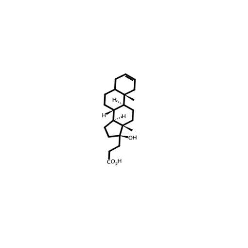 C[C@]12CC=CCC1CC[C@@H]1[C@@H]2CC[C@@]2(C)[C@H]1CC[C@@]2(O)CCC(=O)O